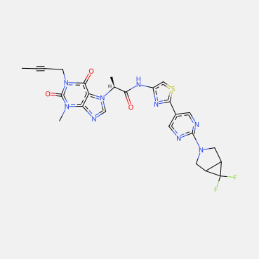 CC#CCn1c(=O)c2c(ncn2[C@@H](C)C(=O)Nc2csc(-c3cnc(N4CC5C(C4)C5(F)F)nc3)n2)n(C)c1=O